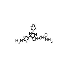 NC(=O)N1CC(N2CCc3c(-c4cnc(N)nc4)nc(N4CCOCC4)nc32)C1